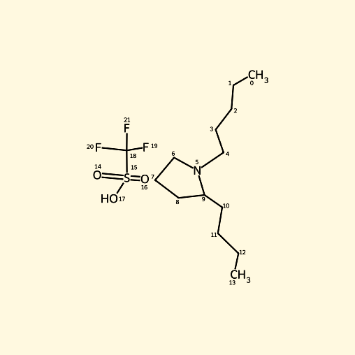 CCCCCN1CCCC1CCCC.O=S(=O)(O)C(F)(F)F